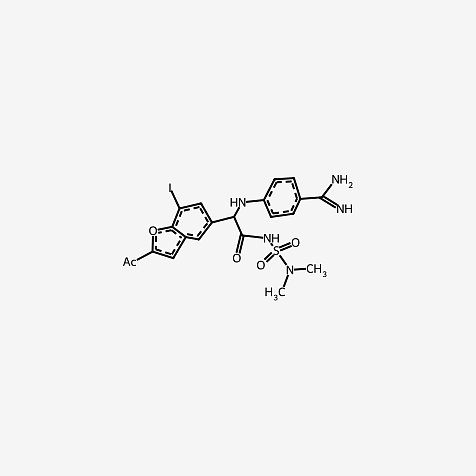 CC(=O)c1cc2cc(C(Nc3ccc(C(=N)N)cc3)C(=O)NS(=O)(=O)N(C)C)cc(I)c2o1